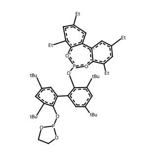 CCc1cc(CC)c2op(Oc3c(-c4cc(C(C)(C)C)cc(C(C)(C)C)c4OP4OCCO4)cc(C(C)(C)C)cc3C(C)(C)C)oc3c(CC)cc(CC)cc3c2c1